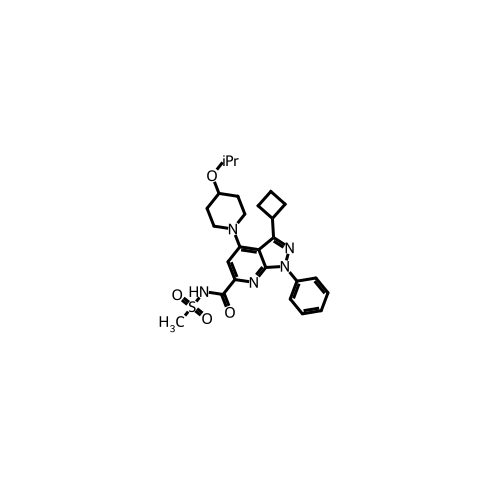 CC(C)OC1CCN(c2cc(C(=O)NS(C)(=O)=O)nc3c2c(C2CCC2)nn3-c2ccccc2)CC1